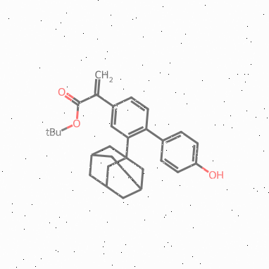 C=C(C(=O)OC(C)(C)C)c1ccc(-c2ccc(O)cc2)c(C23CC4CC(CC(C4)C2)C3)c1